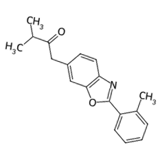 Cc1ccccc1-c1nc2ccc(CC(=O)C(C)C)cc2o1